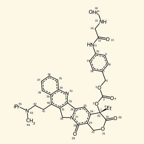 CC[C@@]1(OC(=O)OCc2ccc(NC(=O)CNC=O)cc2)C(=O)OCc2c1cc1n(c2=O)Cc2c-1nc1ccccc1c2CCN(C)C(C)C